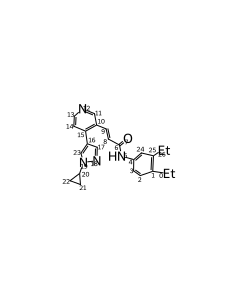 CCc1ccc(NC(=O)/C=C/c2cnccc2-c2cnn(C3CC3)c2)cc1CC